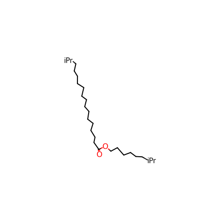 CC(C)CCCCCCCCCCCCCCC(=O)OCCCCCCC(C)C